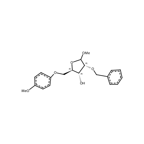 COc1ccc(OC[C@H]2OC(OC)[C@H](OCc3ccccc3)[C@@H]2O)cc1